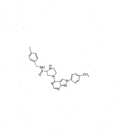 Cc1ccc(-n2cc3c(N4CCNC(C(=O)NCc5ccc(I)cc5)C4)ncnc3n2)cc1